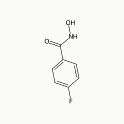 O=C(NO)c1ccc(F)cc1